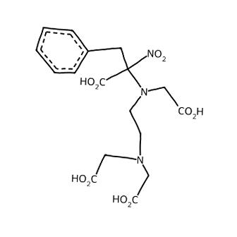 O=C(O)CN(CCN(CC(=O)O)C(Cc1ccccc1)(C(=O)O)[N+](=O)[O-])CC(=O)O